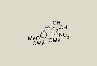 COc1cc(/C=C\c2ccc([N+](=O)[O-])c(O)c2O)cc(OC)c1OC